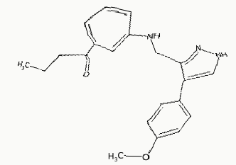 CCCC(=O)c1cccc(NCc2n[nH]cc2-c2ccc(OC)cc2)c1